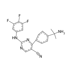 CC(C)(N)c1ccc(-c2nc(Nc3cc(F)c(F)c(F)c3)ncc2C#N)cc1